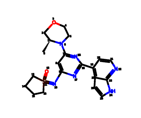 C[C@@H]1COCCN1c1cc(N=S2(=O)CCCC2)nc(-c2ccnc3[nH]ccc23)n1